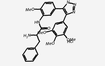 COc1ccc(-c2[nH]nnc2-c2cc(OC)c(OC)c(OC)c2)cc1NC(=O)C(N)Cc1ccccc1.Cl